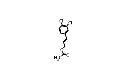 CC(=O)OCC=Cc1ccc(Cl)c(Cl)c1